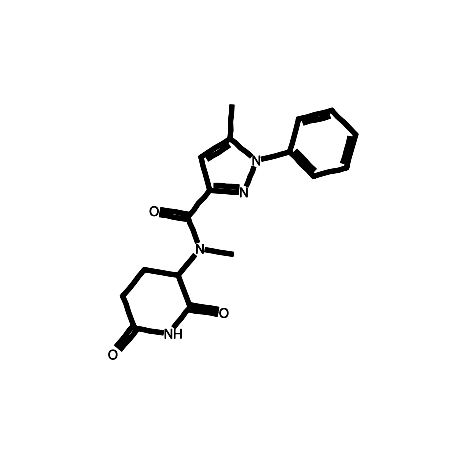 Cc1cc(C(=O)N(C)C2CCC(=O)NC2=O)nn1-c1ccccc1